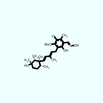 COc1c(Cl)c(C)c(/C=N/O)c(O)c1C/C=C(C)/C=C/[C@@]1(C)[C@H](C)CC[C@](C)(O)[C@@H]1C